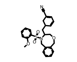 COc1ccccc1S(=O)(=O)N1Cc2ccccc2COCC1CC1C=CC=C(C#N)C1